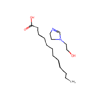 CCCCCCCCCCCC(=O)O.OCCN1C=NCC1